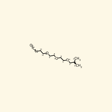 C=C(C)COCCOCCOCCN=C=O